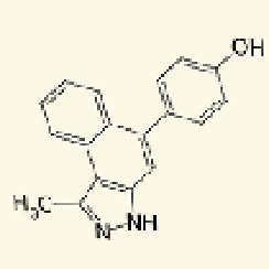 Cc1n[nH]c2cc(-c3ccc(O)cc3)c3ccccc3c12